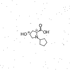 O=C(O)[C@@H]1C[C@@H](O)CN1C1CCCC1